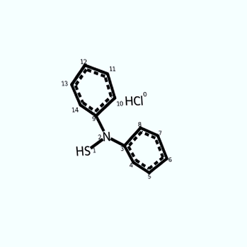 Cl.SN(c1ccccc1)c1ccccc1